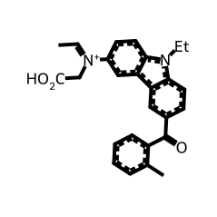 CC=[N+](CC(=O)O)c1ccc2c(c1)c1cc(C(=O)c3ccccc3C)ccc1n2CC